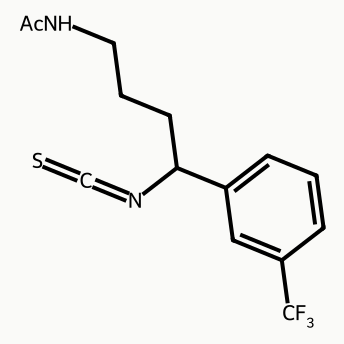 CC(=O)NCCCC(N=C=S)c1cccc(C(F)(F)F)c1